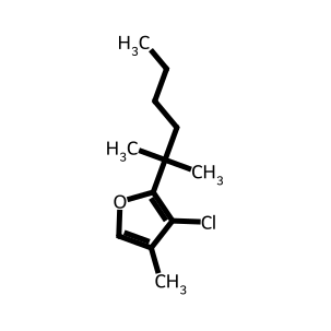 CCCCC(C)(C)c1occ(C)c1Cl